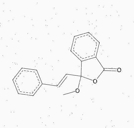 COC1(C=Cc2ccccc2)OC(=O)c2ccccc21